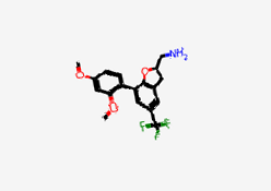 COc1ccc(-c2cc(C(F)(F)F)cc3c2OC(CN)C3)c(OC)c1